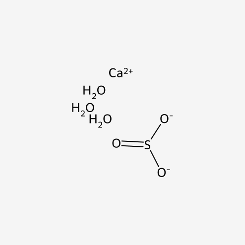 O.O.O.O=S([O-])[O-].[Ca+2]